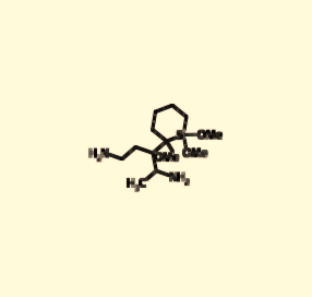 COC1(C(CCN)C(C)N)CCCC[Si]1(OC)OC